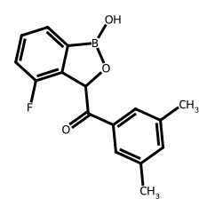 Cc1cc(C)cc(C(=O)C2OB(O)c3cccc(F)c32)c1